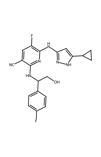 N#Cc1cc(F)c(Nc2cc(C3CC3)[nH]n2)nc1NC(CO)c1ccc(F)cc1